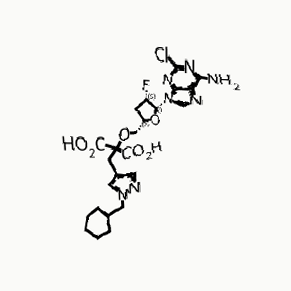 Nc1nc(Cl)nc2c1ncn2[C@@H]1O[C@H](COC(Cc2cnn(CC3CCCCC3)c2)(C(=O)O)C(=O)O)C[C@@H]1F